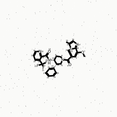 COc1cc(C(=O)N2CC[C@@H](NC(=O)c3ncccc3C(F)(F)F)[C@@H](c3ccccc3)C2)cn2c(C)cnc12